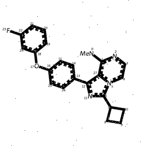 CNc1nccn2c(C3CCC3)nc(-c3ccc(Oc4cccc(F)c4)cc3)c12